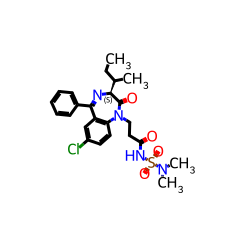 CCC(C)[C@@H]1N=C(c2ccccc2)c2cc(Cl)ccc2N(CCC(=O)NS(=O)(=O)N(C)C)C1=O